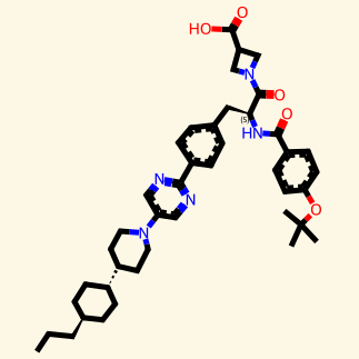 CCC[C@H]1CC[C@H](C2CCN(c3cnc(-c4ccc(C[C@H](NC(=O)c5ccc(OC(C)(C)C)cc5)C(=O)N5CC(C(=O)O)C5)cc4)nc3)CC2)CC1